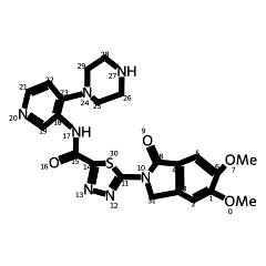 COc1cc2c(cc1OC)C(=O)N(c1nnc(C(=O)Nc3cnccc3N3CCNCC3)s1)C2